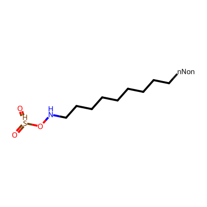 CCCCCCCCCCCCCCCCCCNO[SH](=O)=O